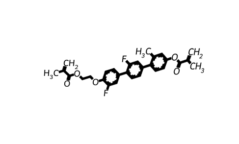 C=C(C)C(=O)OCCOc1ccc(-c2ccc(-c3ccc(OC(=O)C(=C)C)cc3C)cc2F)cc1F